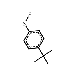 CC(C)(C)c1ccc(SF)cc1